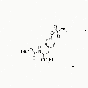 CCOC(=O)[C@H](Cc1ccc(OS(=O)(=O)C(F)(F)F)cc1)NC(=O)OC(C)(C)C